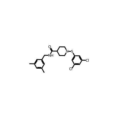 Cc1cc(C)cc(CNC(=O)C2CCN(Sc3cc(Cl)cc(Cl)c3)CC2)c1